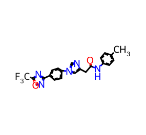 Cc1ccc(NC(=O)Cc2cn(-c3ccc(-c4noc(C(F)(F)F)n4)cc3)cn2)cc1